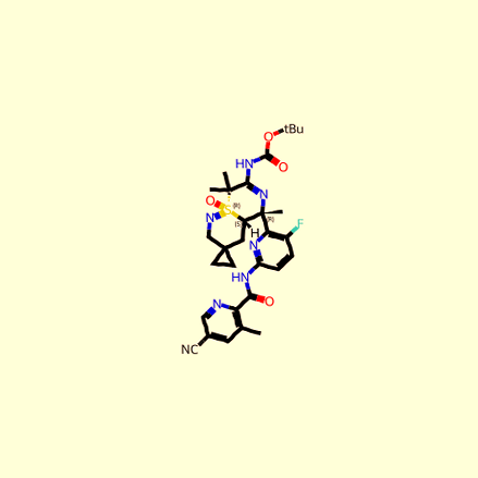 Cc1cc(C#N)cnc1C(=O)Nc1ccc(F)c([C@@]2(C)N=C(NC(=O)OC(C)(C)C)C(C)(C)[S@@]3(=O)=NCC4(CC4)C[C@@H]23)n1